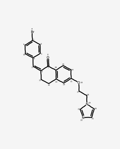 O=C1C(=Cc2ccc(Br)cc2)CCc2cc(OCCn3ccnc3)ccc21